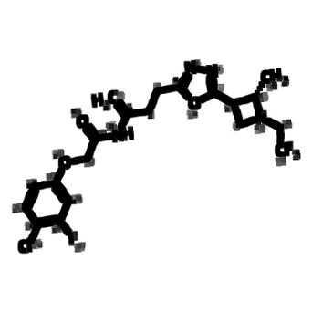 C=C(CCc1nnc(C2CN(CC(F)(F)F)[C@H]2C)o1)NC(=O)COc1ccc(Cl)c(F)c1